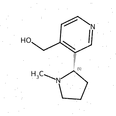 CN1CCC[C@H]1c1cnccc1CO